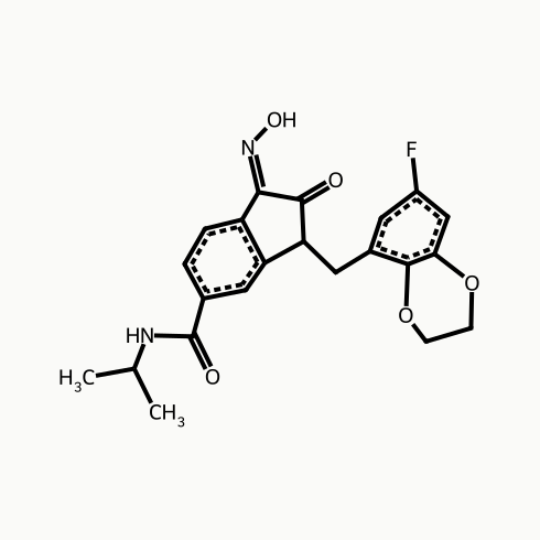 CC(C)NC(=O)c1ccc2c(c1)C(Cc1cc(F)cc3c1OCCO3)C(=O)/C2=N\O